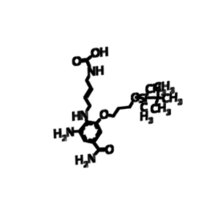 CC(C)(C)[Si](C)(C)OCCCOc1cc(C(N)=O)cc(N)c1NCC=CCNC(=O)O